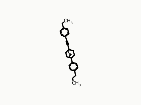 CCCc1ccc(C23CCC(C#Cc4ccc(CC)cc4)(CC2)CC3)cc1